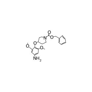 COc1cc(N)cc(OC)c1OC1CCN(C(=O)OCc2ccccc2)CC1